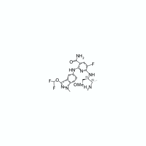 COC[C@@H](Nc1nc(Nc2ccc3c(c2)c(OC(F)F)nn3C)c(C(N)=O)cc1F)[C@H](C)N